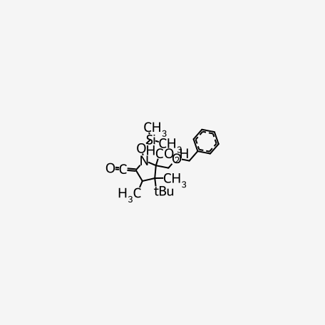 CC1C(=C=O)N(O[SiH](C)C)C(COCc2ccccc2)(C(=O)O)C1(C)C(C)(C)C